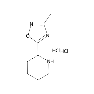 Cc1noc(C2CCCCN2)n1.Cl.Cl